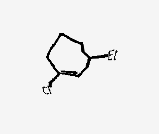 CCC1C=C(Cl)CCC1